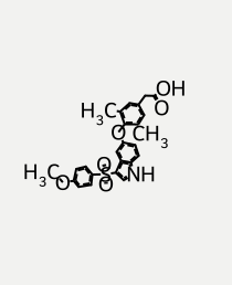 COc1ccc(S(=O)(=O)c2c[nH]c3ccc(Oc4c(C)cc(CC(=O)O)cc4C)cc23)cc1